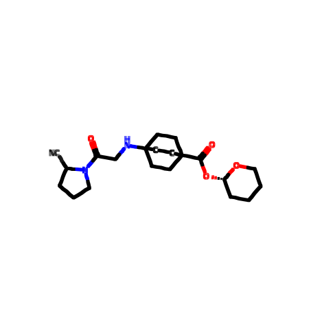 N#CC1CCCN1C(=O)CNC12CCC(C(=O)O[C@H]3CCCCO3)(CC1)CC2